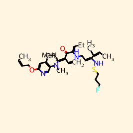 C=C/C(C(=O)/C(=C/CC)NC/C=C(NSCCCF)\C(C)=C/C)=C(/NC)N(C)c1cnc(OC/C=C\C)cc1C